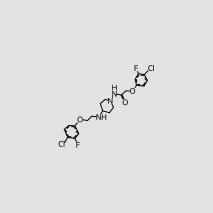 O=C(COc1ccc(Cl)c(F)c1)NN1CCC(NCCOc2ccc(Cl)c(F)c2)CC1